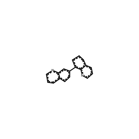 c1cnc2cc(-c3cccc4cccnc34)ccc2c1